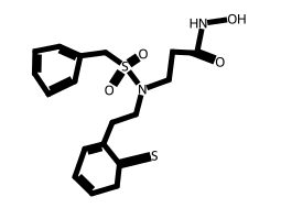 O=C(CCN(CCC1=CC=CCC1=S)S(=O)(=O)Cc1ccccc1)NO